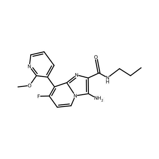 CCCNC(=O)c1nc2c(-c3cccnc3OC)c(F)ccn2c1N